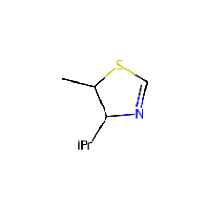 CC(C)C1N=CSC1C